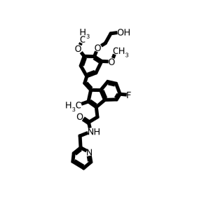 COc1cc(/C=C2/C(C)=C(CC(=O)NCc3ccccn3)c3cc(F)ccc32)cc(OC)c1OCCO